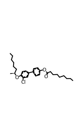 CCCCCCCCC(=O)Oc1ccc(-c2ccc(O[C@@H](C)CCCCCC)c(Cl)c2)cc1